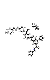 O=C(/C=C/c1ccccc1)N(CCc1cccs1)Cc1cccc(-c2cccc(C(=O)N3CCC(CCCC4CCNCC4)CC3)c2)c1.O=C(O)C(F)(F)F